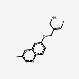 NC/C(=C\F)COc1ccc2ncc(F)cc2c1